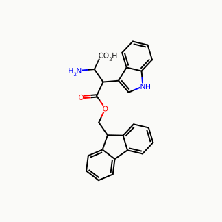 NC(C(=O)O)C(C(=O)OCC1c2ccccc2-c2ccccc21)c1c[nH]c2ccccc12